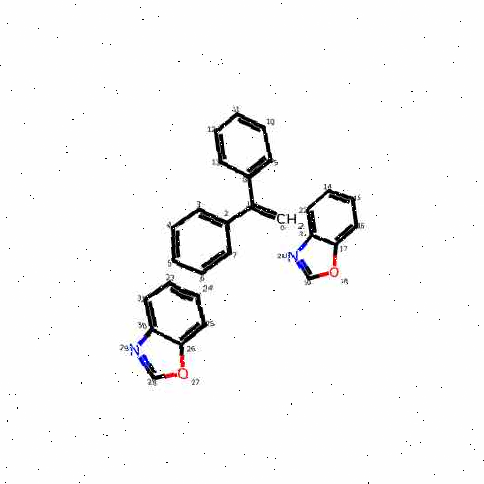 C=C(c1ccccc1)c1ccccc1.c1ccc2ocnc2c1.c1ccc2ocnc2c1